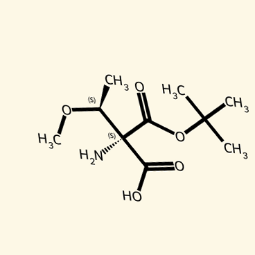 CO[C@@H](C)[C@](N)(C(=O)O)C(=O)OC(C)(C)C